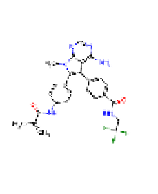 C=C(C)C(=O)Nc1ccc(-c2c(-c3ccc(C(=O)NCC(F)(F)F)cc3)c3c(N)ncnc3n2C)cc1